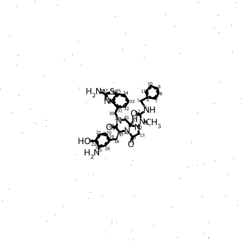 CN(C(=O)NCc1ccccc1)N1CC(=O)N2[C@@H](Cc3ccc(O)c(N)c3)C(=O)N(Cc3cccc4sc(N)nc34)C[C@@H]21